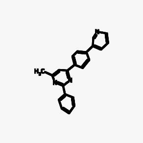 Cc1cc(-c2ccc(-c3cccnc3)cc2)nc(-c2ccccc2)n1